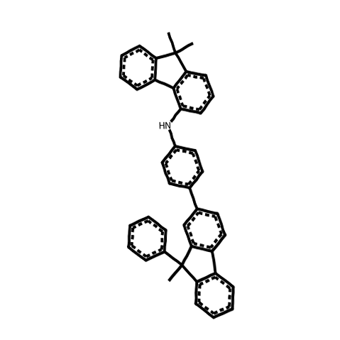 CC1(C)c2ccccc2-c2c(Nc3ccc(-c4ccc5c(c4)C(C)(c4ccccc4)c4ccccc4-5)cc3)cccc21